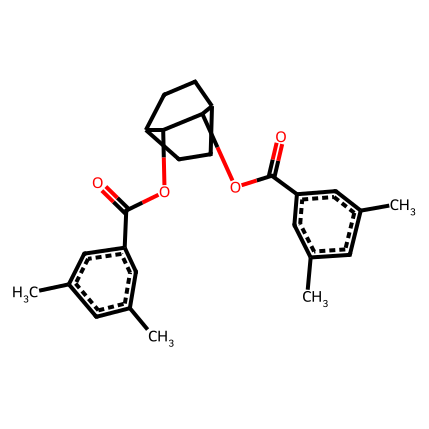 Cc1cc(C)cc(C(=O)OC2C3CCC(CC3)C2OC(=O)c2cc(C)cc(C)c2)c1